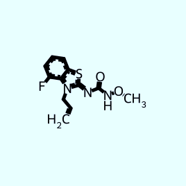 C=CCn1c(=NC(=O)NOC)sc2cccc(F)c21